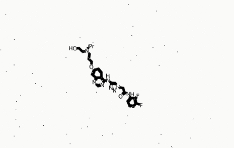 CC(C)N(CCO)CCCOc1ccc2c(Nc3cn(CC(=O)Nc4cccc(F)c4F)nn3)ncnc2c1